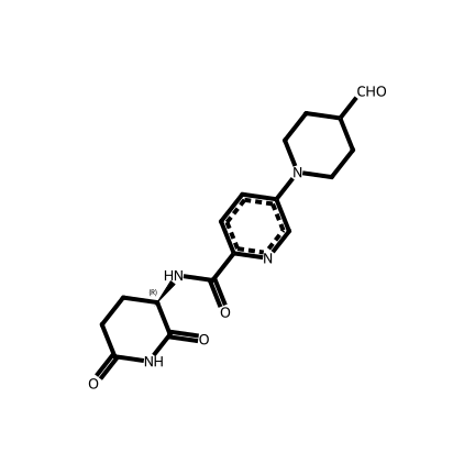 O=CC1CCN(c2ccc(C(=O)N[C@@H]3CCC(=O)NC3=O)nc2)CC1